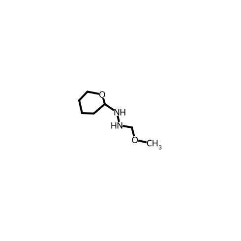 COCNNC1CCCCO1